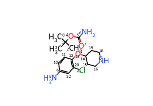 CC(C)(C)OC(N)=O.Nc1ccc(OC2CCNCC2)c(Cl)c1